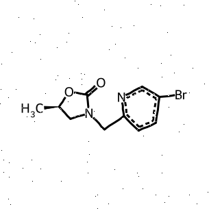 C[C@@H]1CN(Cc2ccc(Br)cn2)C(=O)O1